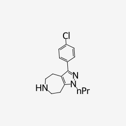 CCCn1nc(-c2ccc(Cl)cc2)c2c1CCNCC2